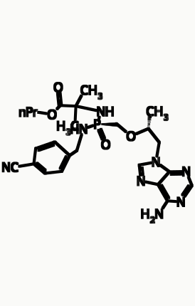 CCCOC(=O)C(C)(C)N[P@@](=O)(CO[C@H](C)Cn1cnc2c(N)ncnc21)NCc1ccc(C#N)cc1